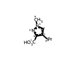 CC(C)c1cn(C)nc1C(=O)O